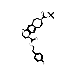 CC(C)(C)OC(=O)N1CCc2cc3c(cc2CC1)N(C(=O)OCCc1ccc(F)cc1)CCO3